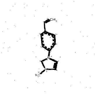 C=Cc1ccc(N2C=CN(C)C2)cc1